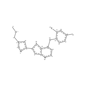 COCn1cnc(-c2cc3nccc(Oc4ccc(C)cc4F)c3s2)c1